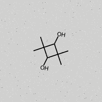 CC1(C)[C](O)C(C)(C)C1O